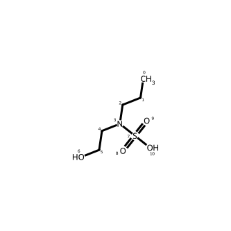 CCCN(CCO)S(=O)(=O)O